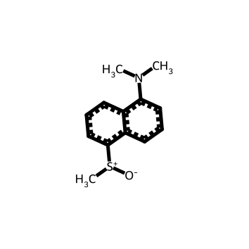 CN(C)c1cccc2c([S+](C)[O-])cccc12